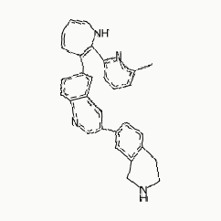 Cc1cccc(C2=C(c3ccc4ncc(-c5ccc6c(c5)CNCC6)cc4c3)C=CC=CN2)n1